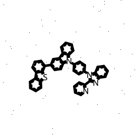 c1ccc(-c2nc3ccccc3n2-c2ccc(-n3c4ccccc4c4cc(-c5cccc6c5sc5ccccc56)ccc43)cc2)nc1